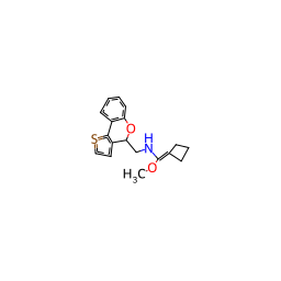 COC(NCC1Oc2ccccc2-c2sccc21)=C1CCC1